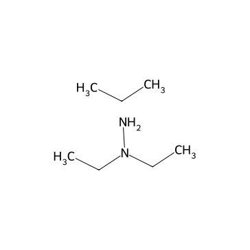 CCC.CCN(N)CC